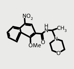 COc1c(C(=O)NC(C)N2CCOCC2)cc([N+](=O)[O-])c2ccccc12